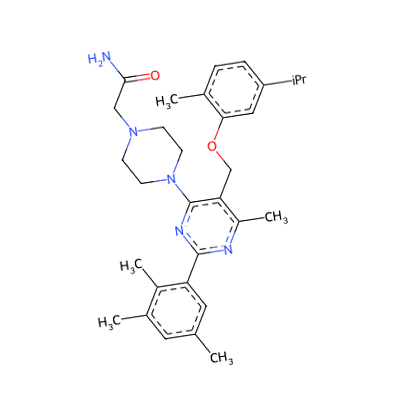 Cc1cc(C)c(C)c(-c2nc(C)c(COc3cc(C(C)C)ccc3C)c(N3CCN(CC(N)=O)CC3)n2)c1